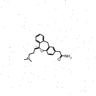 CN(C)CC/C=C1\Oc2ccc(CC(N)=O)cc2Cc2ccccc21